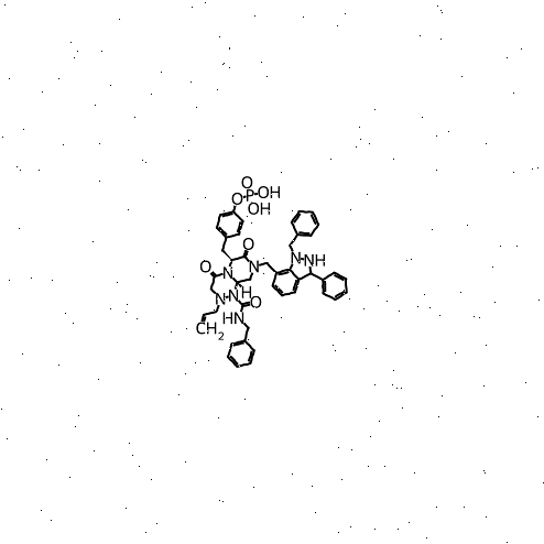 C=CCN1CC(=O)N2[C@@H](Cc3ccc(OP(=O)(O)O)cc3)C(=O)N(Cc3cccc4c3N(Cc3ccccc3)NC4c3ccccc3)C[C@@H]2N1C(=O)NCc1ccccc1